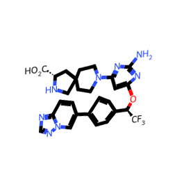 Nc1nc(O[C@H](c2ccc(-c3ccc4ncnn4c3)cc2)C(F)(F)F)cc(N2CCC3(CC2)CN[C@H](C(=O)O)C3)n1